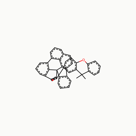 CC1(C)c2ccccc2Oc2ccc(-c3cccc4c3C35c6ccccc6-c6ccc7cccc(c7c63)-c3cccc-4c35)cc21